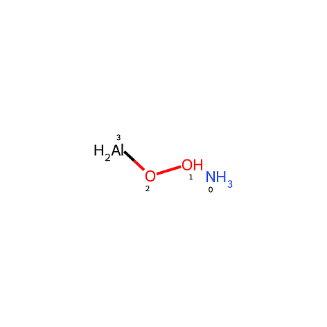 N.O[O][AlH2]